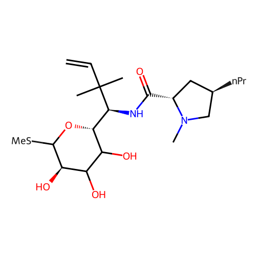 C=CC(C)(C)[C@@H](NC(=O)[C@@H]1C[C@@H](CCC)CN1C)[C@H]1OC(SC)[C@H](O)C(O)C1O